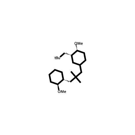 CO[C@H]1CCCC[C@@H]1CC(C)(C)CC1CC[C@@H](OC)[C@@H](CC(C)(C)C)C1